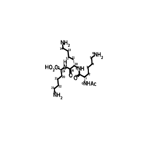 CC(=O)N[C@@H](CCCCN)C(=O)N[C@@H](CCCCN)C(=O)N[C@@H](CCCCN)C(=O)O